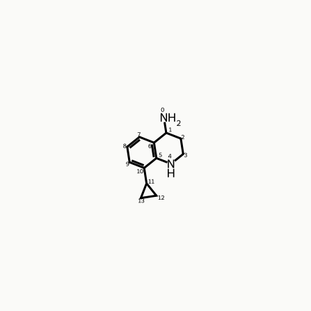 NC1CCNc2c1cccc2C1CC1